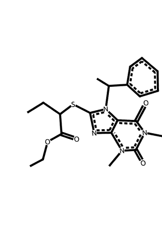 CCOC(=O)C(CC)Sc1nc2c(c(=O)n(C)c(=O)n2C)n1C(C)c1ccccc1